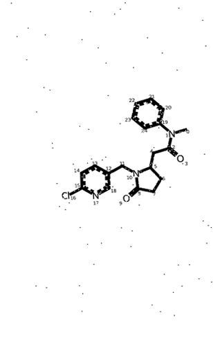 CN(C(=O)CC1CCC(=O)N1Cc1ccc(Cl)nc1)c1ccccc1